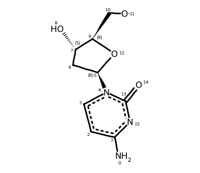 Nc1ccn([C@H]2C[C@H](O)[C@@H](C[O])O2)c(=O)n1